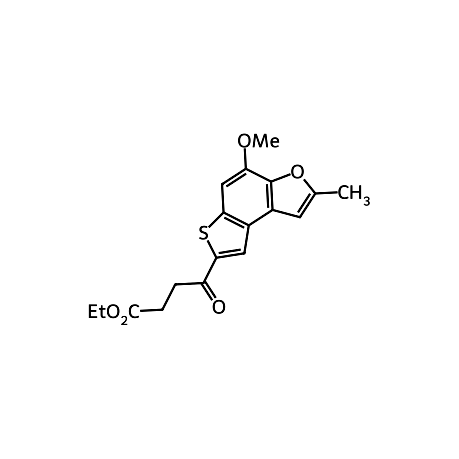 CCOC(=O)CCC(=O)c1cc2c(cc(OC)c3oc(C)cc32)s1